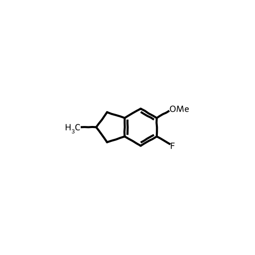 COc1cc2c(cc1F)CC(C)C2